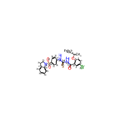 CCCCC(C)Oc1ccc(Br)cc1C(=O)NC(=S)Nc1ccc(S(=O)(=O)N2CCc3ccccc32)cc1